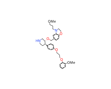 COCCCN1CCOc2ccc(CO[C@H]3CNCC[C@@H]3c3ccc(OCCCOc4ccccc4OC)cc3)cc21